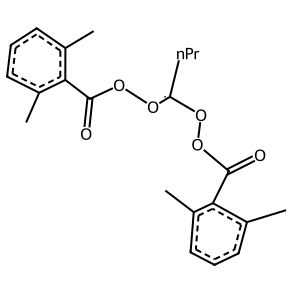 [CH2]CC[C](OOC(=O)c1c(C)cccc1C)OOC(=O)c1c(C)cccc1C